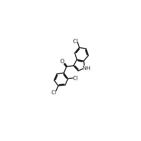 O=C(c1ccc(Cl)cc1Cl)c1c[nH]c2ccc(Cl)cc12